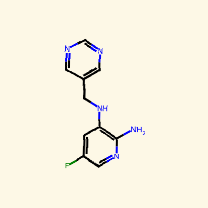 Nc1ncc(F)cc1NCc1cncnc1